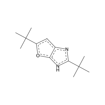 CC(C)(C)c1nc2cc(C(C)(C)C)oc2[nH]1